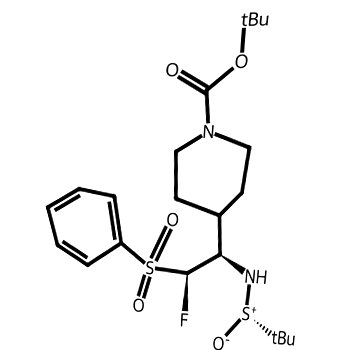 CC(C)(C)OC(=O)N1CCC([C@@H](N[S@@+]([O-])C(C)(C)C)[C@@H](F)S(=O)(=O)c2ccccc2)CC1